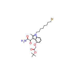 Cc1c(C(=O)C(N)=O)c2c(OCC(=O)OC(C)(C)C)cccc2n1CCCCCCCCBr